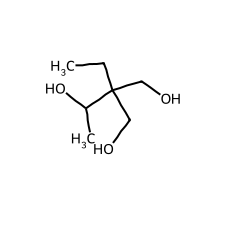 CCC(CO)(CO)C(C)O